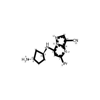 CC(C)c1cc(N[C@H]2CC[C@H](N)C2)n2ncc(C#N)c2n1